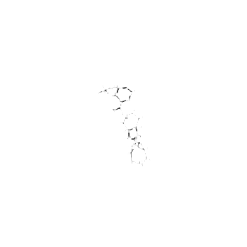 O=C(c1cccc2c1OC(F)(F)O2)N1CCc2nc(N3C4CCC3CNC4)sc2C1